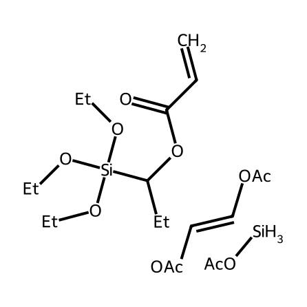 C=CC(=O)OC(CC)[Si](OCC)(OCC)OCC.CC(=O)OC=COC(C)=O.CC(=O)O[SiH3]